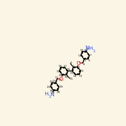 Cc1c(OCc2ccc(N)cc2)cccc1-c1cccc(OCc2ccc(N)cc2)c1C